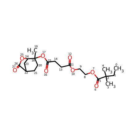 CCC(C)(C)C(=O)OCCOC(=O)CCC(=O)OC1(C)CCC2CC1OC2=O